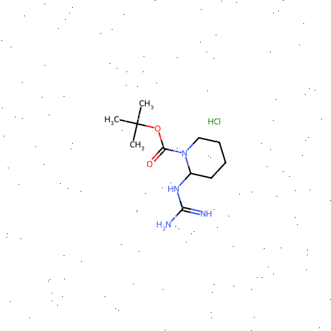 CC(C)(C)OC(=O)N1CCCCC1NC(=N)N.Cl